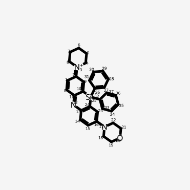 C1=CC(=[N+]2CCCCC2)C=C2C1=Nc1ccc(N3CCOCC3)cc1[Si]2(c1ccccc1)c1ccccc1